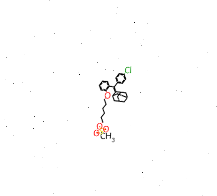 CS(=O)(=O)OCCCCCCOc1ccccc1C(=C1C2CC3CC(C2)CC1C3)c1ccc(Cl)cc1